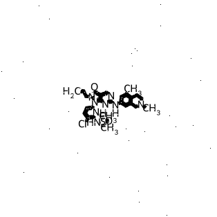 C=CCn1c(=O)c2cnc(Nc3cc(C)c4c(c3)CN(C)CC4)nc2n1-c1ccc(Cl)c(N[SH](C)(C)=O)n1